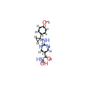 COc1ccc(C2(Nc3ncc(C(=O)NO)cn3)CC2)cc1